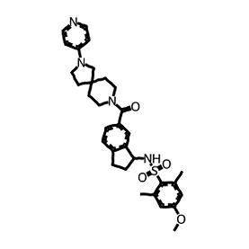 COc1cc(C)c(S(=O)(=O)NC2CCc3ccc(C(=O)N4CCC5(CC4)CCN(c4ccncc4)C5)cc32)c(C)c1